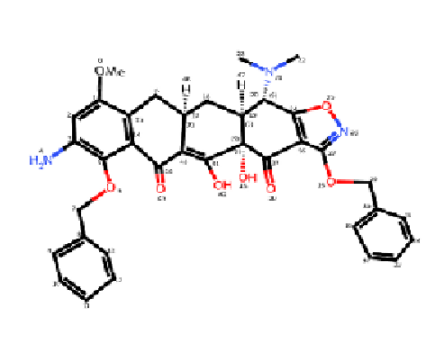 COc1cc(N)c(OCc2ccccc2)c2c1C[C@H]1C[C@H]3[C@H](N(C)C)c4onc(OCc5ccccc5)c4C(=O)[C@@]3(O)C(O)=C1C2=O